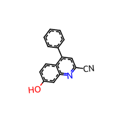 N#Cc1cc(-c2ccccc2)c2ccc(O)cc2n1